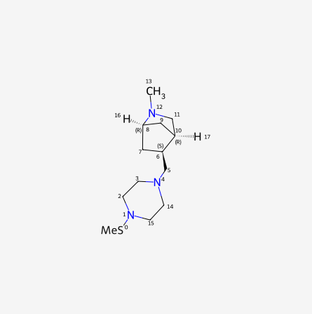 CSN1CCN(C[C@H]2C[C@@H]3C[C@H]2CN3C)CC1